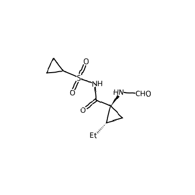 CC[C@H]1C[C@@]1(NC=O)C(=O)NS(=O)(=O)C1CC1